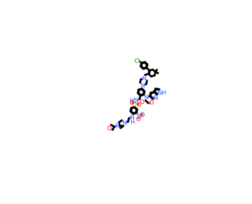 CC1(C)CCC(CN2CCN(c3ccc(C(=O)NS(=O)(=O)c4ccc(NCCN5CC6CC5CN6C5COC5)c([N+](=O)[O-])c4)c(N4CCOc5nc6[nH]ccc6cc54)c3)CC2)=C(c2ccc(Cl)cc2)C1